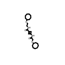 O=C(COC1CCCCCCC1)NC12CC(C(=O)NCCOC3CCCCCCC3)(C1)C2